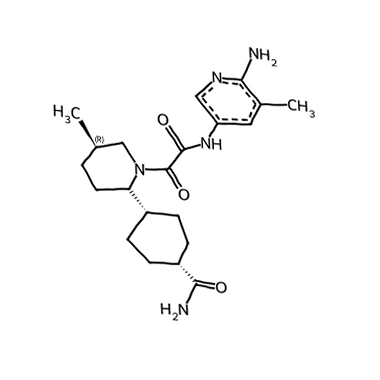 Cc1cc(NC(=O)C(=O)N2C[C@H](C)CCC2[C@H]2CC[C@@H](C(N)=O)CC2)cnc1N